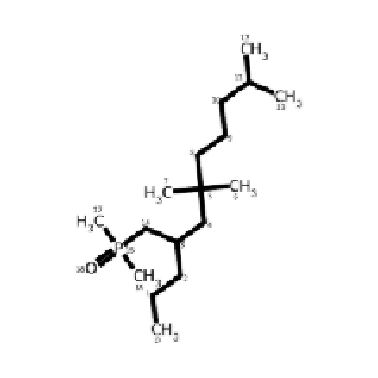 CCCC(CC(C)(C)CCCC(C)C)CP(C)(C)=O